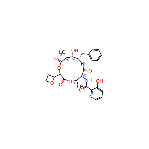 C[C@H]1OC(=O)C(C2CCO2)OC(=O)[C@H](C)[C@H](O)[C@H](Cc2ccccc2)NC(=O)[C@H]1NC(=O)c1ncccc1O